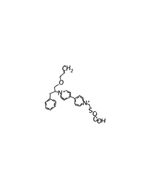 C=CCOCC(Cc1ccccc1)[n+]1ccc(-c2cc[n+](CSOOO)cc2)cc1